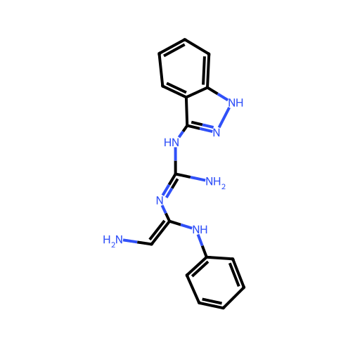 N/C=C(\N=C(/N)Nc1n[nH]c2ccccc12)Nc1ccccc1